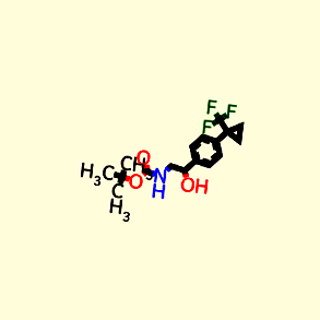 CC(C)(C)OC(=O)NCC(O)c1ccc(C2(C(F)(F)F)CC2)cc1